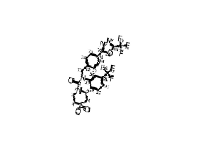 O=C(N1CCS(=O)(=O)CC1)N(Cc1ccc(-c2nnc(C(F)(F)F)o2)cc1)c1cccc(C(F)(F)F)c1